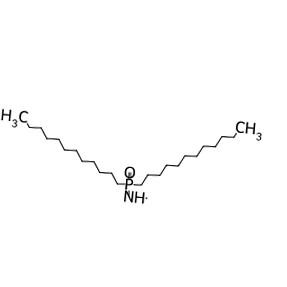 CCCCCCCCCCCCP([NH])(=O)CCCCCCCCCCCC